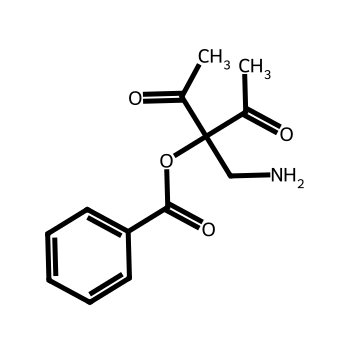 CC(=O)C(CN)(OC(=O)c1ccccc1)C(C)=O